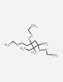 CCSSCC1(SSCC)CC(C)(SSCC)C1(C)CC